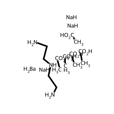 CC(=O)O.CC(=O)O.CC(=O)O.CC(=O)O.CC(=O)O.NCCNCCN.[BaH2].[NaH].[NaH].[NaH]